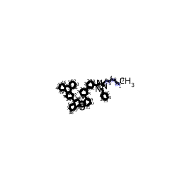 C\C=C/C=C\C=C\c1nc(-c2ccccc2)nc(-c2cccc(-c3cccc(-c4cccc5c4C4C=C(c6ccc7c(c6)c6c(c8ccccc87)CCC=C6)c6ccccc6C4O5)c3)c2)n1